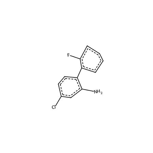 Nc1cc(Cl)ccc1-c1ccccc1F